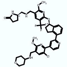 COc1nc(O[C@@H]2CCc3c(-c4cc(-c5nc(OC)c(CNC6CCOCC6)cc5Cl)ccn4)cccc32)c(C(F)(F)F)cc1CNC[C@H]1CCC(=O)N1